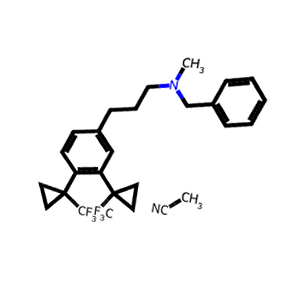 CC#N.CN(CCCc1ccc(C2(C(F)(F)F)CC2)c(C2(C(F)(F)F)CC2)c1)Cc1ccccc1